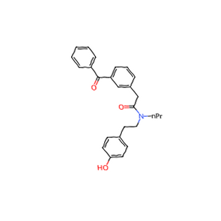 CCCN(CCc1ccc(O)cc1)C(=O)Cc1cccc(C(=O)c2ccccc2)c1